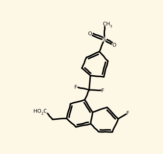 CS(=O)(=O)c1ccc(C(F)(F)c2cc(CC(=O)O)cc3ccc(F)cc23)cc1